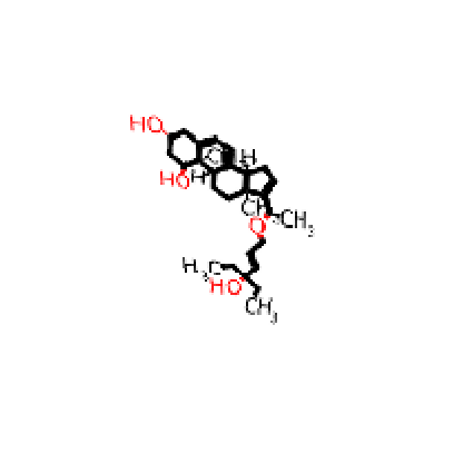 CCC(O)(/C=C/CO[C@H](C)C1=CC[C@H]2C3=CC=C4C[C@@H](O)CC(O)[C@]4(C)[C@H]3CC[C@]12C)CC